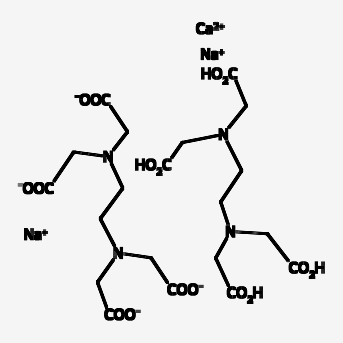 O=C(O)CN(CCN(CC(=O)O)CC(=O)O)CC(=O)O.O=C([O-])CN(CCN(CC(=O)[O-])CC(=O)[O-])CC(=O)[O-].[Ca+2].[Na+].[Na+]